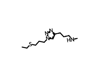 CCSCCCn1cc(CCCNC)nn1